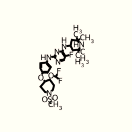 CC1(C)CC(Nc2nc(Nc3ccc(OC4CCCN(S(C)(=O)=O)CC4)c(OC(F)F)c3)ncc2F)CC(C)(C)N1